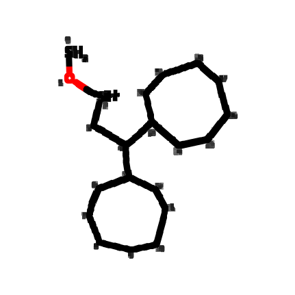 [SiH3]O[SiH]CC(C1CCCCCCC1)C1CCCCCCC1